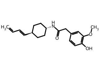 C=C/C=C/[C@H]1CC[C@H](NC(=O)Cc2ccc(O)c(OC)c2)CC1